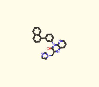 O=c1c(Cn2ccnc2)nc2cccnc2n1-c1cccc(-c2cccc3ccccc23)c1